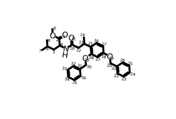 COC(=O)C(CC(C)C)NC(=O)CC(C)c1ccc(OCc2ccccc2)cc1OCc1ccccc1